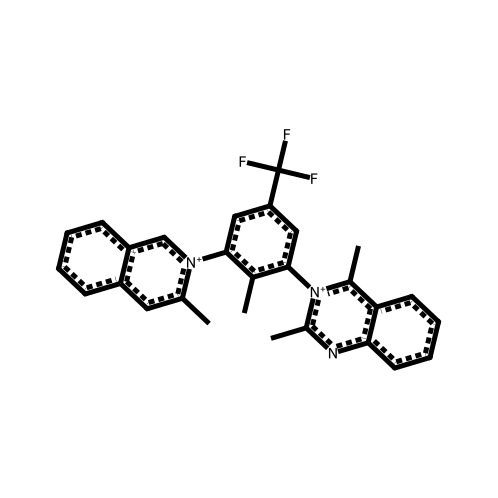 Cc1c(-[n+]2cc3ccccc3cc2C)cc(C(F)(F)F)cc1-[n+]1c(C)nc2ccccc2c1C